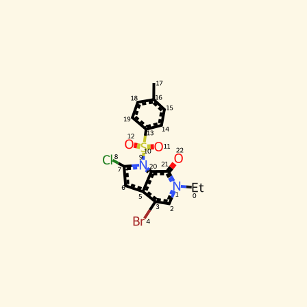 CCn1cc(Br)c2cc(Cl)n(S(=O)(=O)c3ccc(C)cc3)c2c1=O